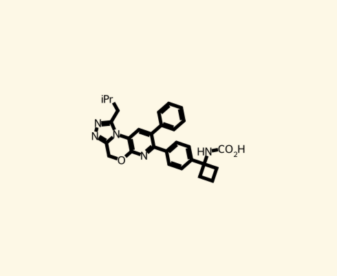 CC(C)Cc1nnc2n1-c1cc(-c3ccccc3)c(-c3ccc(C4(NC(=O)O)CCC4)cc3)nc1OC2